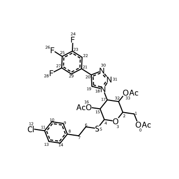 CC(=O)OCC1OC(SCCc2ccc(Cl)cc2)C(OC(C)=O)C(n2cc(-c3cc(F)c(F)c(F)c3)nn2)C1OC(C)=O